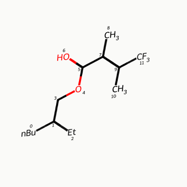 CCCCC(CC)COC(O)C(C)C(C)C(F)(F)F